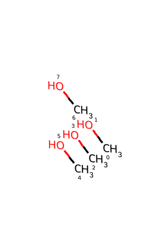 CO.CO.CO.CO